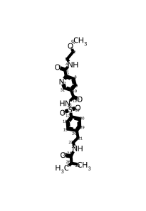 COCCNC(=O)c1ccc(C(=O)NS(=O)(=O)c2ccc(CCNC(=O)C(C)C)cc2)cn1